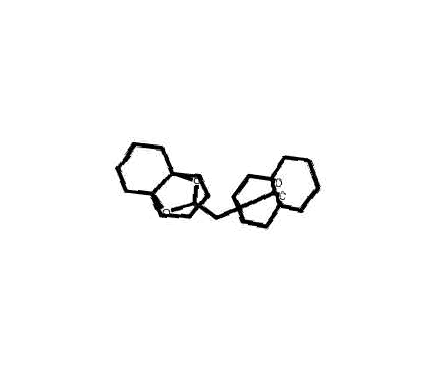 C1CCC23CCCCC2(C1)OC(CC1OC24CCCCC2(CCCC4)O1)O3